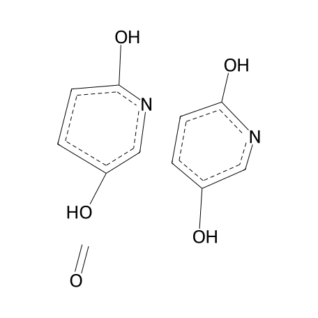 C=O.Oc1ccc(O)nc1.Oc1ccc(O)nc1